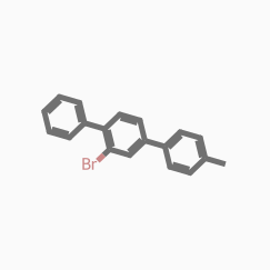 Cc1ccc(-c2ccc(-c3ccccc3)c(Br)c2)cc1